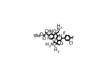 CN(C(=O)OC(C)(C)C)c1cc([C@](O)(CN)c2cc3c(c(-c4cc(Cl)c(F)cc4F)n2)OC[C@]3(C)C(N)=O)ccn1